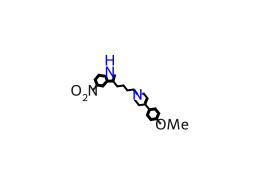 COc1ccc(C2=CCN(CCCCc3c[nH]c4ccc([N+](=O)[O-])cc34)CC2)cc1